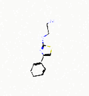 NCCNc1nc(C2=CCCC=C2)cs1